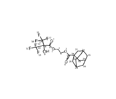 O=C(OCCOC(=O)C(O)(C(F)(F)F)C(F)(F)F)C12CC3CC(CC(C3)C1)C2